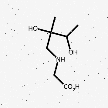 CC(O)C(C)(O)CNCC(=O)O